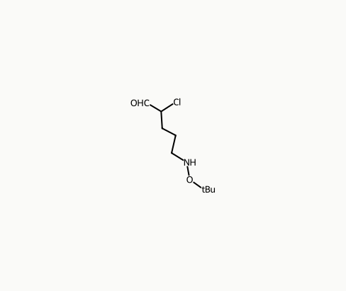 CC(C)(C)ONCCCC(Cl)C=O